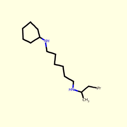 CC(C)CC(C)NCCCCCCNC1CCCCC1